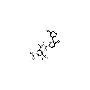 C[C@@H](NC(=O)c1ccc(=O)n(-c2cccc(Br)c2)n1)c1cc([N+](=O)[O-])cc(C(F)(F)F)c1